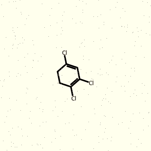 ClC1=CC(Cl)=C(Cl)[CH]C1